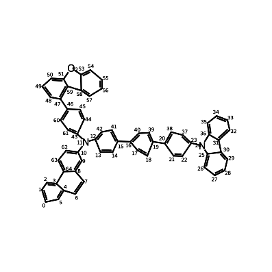 c1ccc2c(c1)ccc1cc(N(c3ccc(-c4ccc(-c5ccc(-n6c7ccccc7c7ccccc76)cc5)cc4)cc3)c3ccc(-c4cccc5oc6ccccc6c45)cc3)ccc12